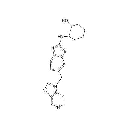 O[C@@H]1CCCC[C@H]1Nc1nc2ccc(Cn3cnc4cnccc43)cc2s1